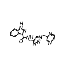 O=C(NCc1cn(Cc2cnccn2)nn1)c1n[nH]c2ccccc12